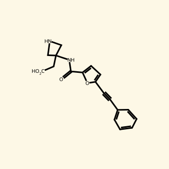 O=C(O)CC1(NC(=O)c2ccc(C#Cc3ccccc3)o2)CNC1